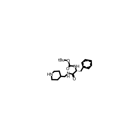 CC(C)(C)OC(=O)N[C@H](Cc1ccccc1)C(=O)NCC1CCNCC1